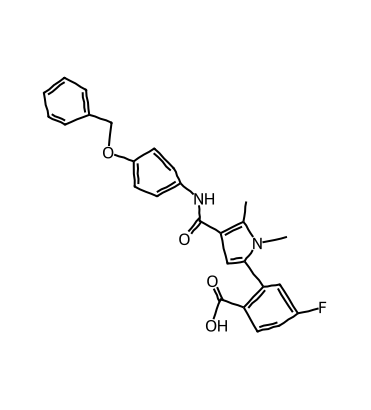 Cc1c(C(=O)Nc2ccc(OCc3ccccc3)cc2)cc(-c2cc(F)ccc2C(=O)O)n1C